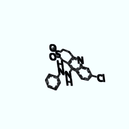 O=S1(=O)CCc2nc3cc(Cl)ccc3c(NNc3ccccc3)c2C1